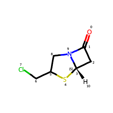 O=C1C[C@@H]2SC(CCl)CN12